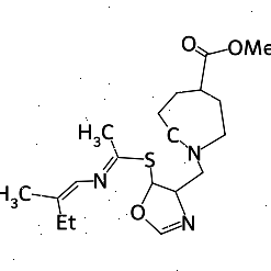 CC/C(C)=C\N=C(/C)SC1OC=NC1CN1CCCC(C(=O)OC)CC1